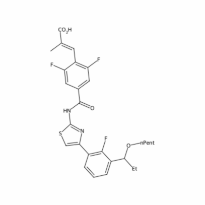 CCCCCOC(CC)c1cccc(-c2csc(NC(=O)c3cc(F)c(C=C(C)C(=O)O)c(F)c3)n2)c1F